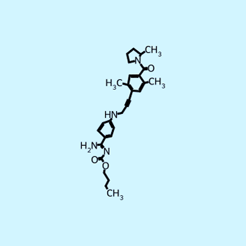 CCCCOC(=O)N=C(N)c1ccc(NCC#Cc2cc(C)c(C(=O)N3CCCC3C)cc2C)cc1